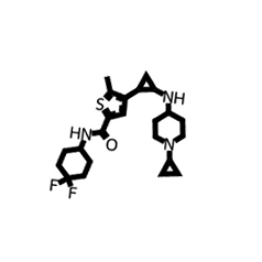 Cc1sc(C(=O)NC2CCC(F)(F)CC2)cc1C1CC1NC1CCN(C2CC2)CC1